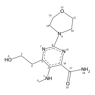 CNc1c(CCO)nc(N2CCOCC2)nc1C(N)=O